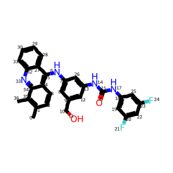 Cc1ccc2c(Nc3cc(CO)cc(NC(=O)Nc4cc(F)cc(F)c4)c3)c3ccccc3nc2c1C